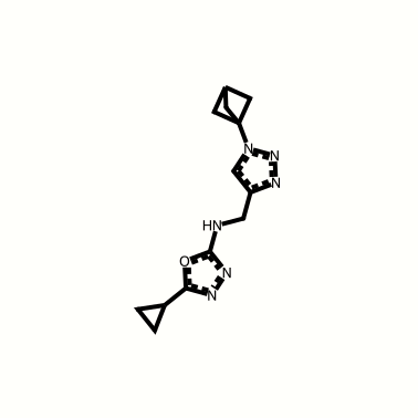 c1c(CNc2nnc(C3CC3)o2)nnn1C12CC(C1)C2